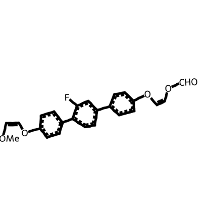 CO/C=C\Oc1ccc(-c2ccc(-c3ccc(O/C=C\OC=O)cc3)cc2F)cc1